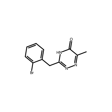 Cc1nnc(Cc2ccccc2Br)[nH]c1=O